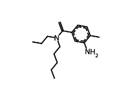 C=C(c1ccc(C)c(N)c1)N(CCC)CCCCC